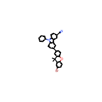 CC1(C)c2cc(Br)ccc2Oc2ccc(-c3ccc4c(c3)c3cc(C#N)ccc3n4-c3ccccc3)cc21